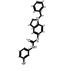 O=C(Nc1cccc(Br)c1)Oc1ccc2c(c1)CCN2Cc1ccccc1